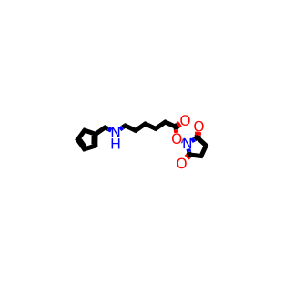 O=C(CCCCCNCC1=CC=CC1)ON1C(=O)CCC1=O